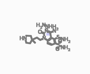 CC1(CCN(C=O)c2ccc(S(N)(=O)=O)c(SN)c2/C(N)=N/NN)CCNCC1